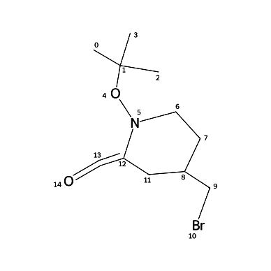 CC(C)(C)ON1CCC(CBr)CC1=C=O